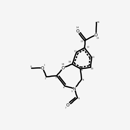 COCC1=CN(C=O)Cc2ccc(C(=O)OC)cc2O1